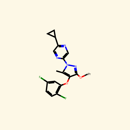 Cc1c(Oc2cc(F)ccc2F)c(OC(C)C)nn1-c1cnc(C2CC2)cn1